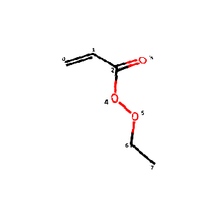 C=CC(=O)OO[CH]C